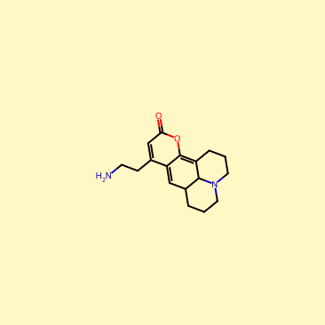 NCCc1cc(=O)oc2c1=CC1CCCN3CCCC=2C13